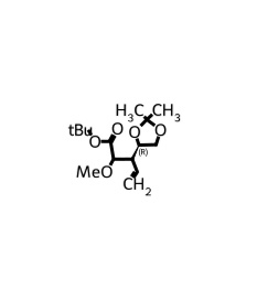 C=CC(C(OC)C(=O)OC(C)(C)C)[C@@H]1COC(C)(C)O1